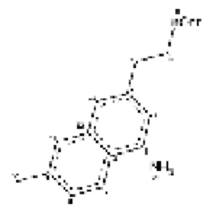 CCCCCCCCCCc1ccc2ccc(C)cc2c1.N